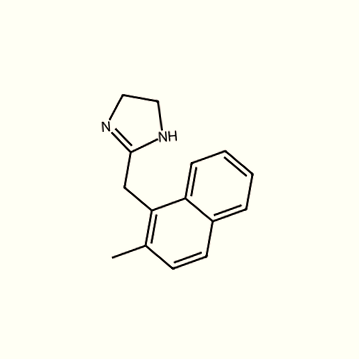 Cc1ccc2ccccc2c1CC1=NCCN1